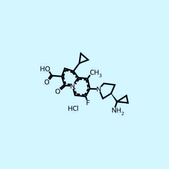 Cc1c(N2CC[C@@H](C3(N)CC3)C2)c(F)cn2c(=O)c(C(=O)O)cc(C3CC3)c12.Cl